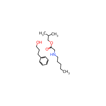 CCCCCNCC(=O)OCC(C)C.OCCCc1ccccc1